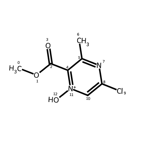 COC(=O)c1c(C)nc(Cl)c[n+]1O